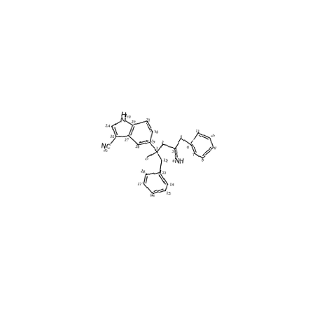 CC(CC(=N)Cc1ccccc1)(Cc1ccccc1)c1ccc2[nH]cc(C#N)c2c1